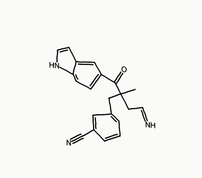 CC(CC=N)(Cc1cccc(C#N)c1)C(=O)c1ccc2[nH]ccc2c1